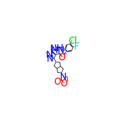 Cn1nc(C2CC3CC(N4CCOC4=O)CC3C2)c(C(=O)Nc2ccc(F)c(Cl)c2)c1N